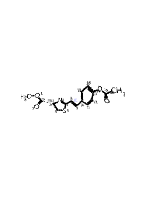 COC(=O)[C@H]1CSC(/C=C/c2ccc(OC(C)=O)cc2)=N1